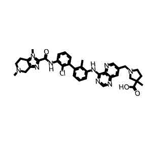 Cc1c(Nc2ncnc3cc(CN4CCC(C)(C(=O)O)C4)cnc23)cccc1-c1cccc(NC(=O)c2nc3c(n2C)CCN(C)C3)c1Cl